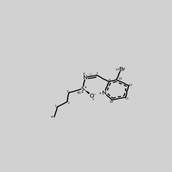 CCCC[S@+]([O-])/N=C\c1ncccc1Br